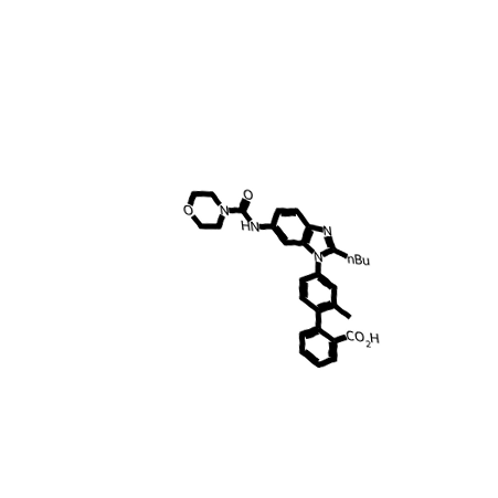 CCCCc1nc2ccc(NC(=O)N3CCOCC3)cc2n1-c1ccc(-c2ccccc2C(=O)O)c(C)c1